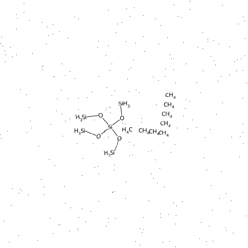 C.C.C.C.C.C.C.C.[SiH3]O[Si](O[SiH3])(O[SiH3])O[SiH3]